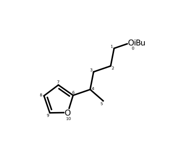 [CH2]C(C)COCCCC(C)c1ccco1